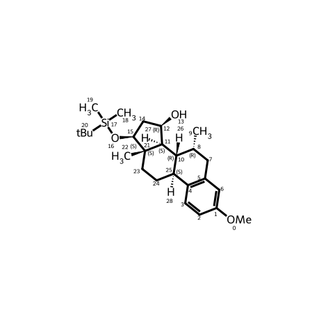 COc1ccc2c(c1)C[C@@H](C)[C@H]1[C@@H]3[C@H](O)C[C@H](O[Si](C)(C)C(C)(C)C)[C@@]3(C)CC[C@H]21